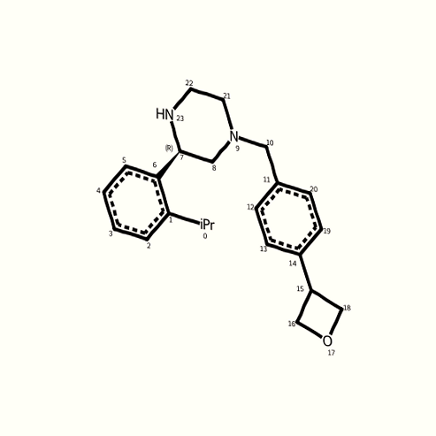 CC(C)c1ccccc1[C@@H]1CN(Cc2ccc(C3COC3)cc2)CCN1